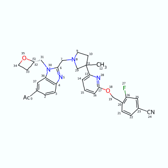 CC(=O)c1ccc2nc(CN3CCC(C)(c4cccc(OCc5ccc(C#N)cc5F)n4)C3)n(C[C@@H]3CCO3)c2c1